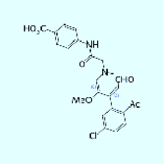 COC(=C/N(C)CC(=O)Nc1ccc(C(=O)O)cc1)/C(=C\C=O)c1cc(Cl)ccc1C(C)=O